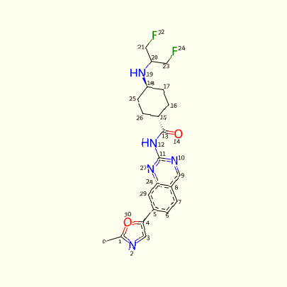 Cc1ncc(-c2ccc3cnc(NC(=O)[C@H]4CC[C@H](NC(CF)CF)CC4)nc3c2)o1